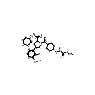 CC(C)(C)OC(=O)NC[C@H]1CC[C@H](C(=O)N2CC(c3cccc(C(=O)O)c3F)[C@@H](C3CCCCC3)[C@H]2C(N)=O)CC1